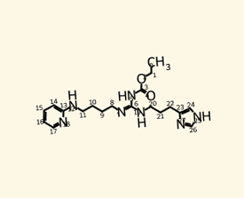 CCOC(=O)NC(=NCCCCNc1ccccn1)NCCCc1c[nH]cn1